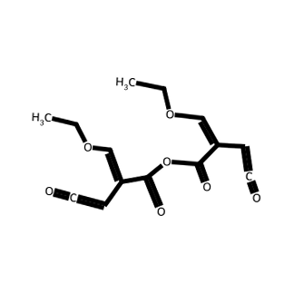 CCOC=C(C=C=O)C(=O)OC(=O)C(C=C=O)=COCC